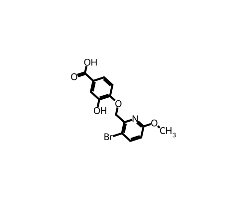 COc1ccc(Br)c(COc2ccc(C(=O)O)cc2O)n1